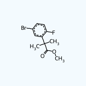 COC(=O)C(C)(C)c1cc(Br)ccc1F